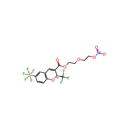 O=C(OCCOCCO[N+](=O)[O-])C1=Cc2cc(S(F)(F)(F)(F)F)ccc2O[C@@H]1C(F)(F)F